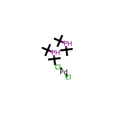 CC(C)(C)PC(C)(C)C.CC(C)(C)PC(C)(C)C.[Cl][Pd][Cl]